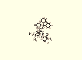 CC1(C)O[C@@H]2[C@H](O1)[C@@H](COC(c1ccccc1)(c1ccccc1)c1ccccc1)O[C@@H]2C(=CN)C(N)=O